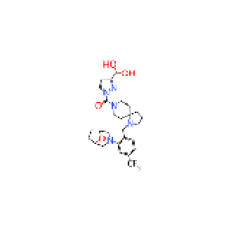 O=C(N1CCC2(CCCN2Cc2ccc(C(F)(F)F)cc2N2CC3CCC(C2)O3)CC1)n1ccc(C(O)O)n1